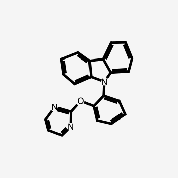 c1cnc(Oc2ccccc2-n2c3ccccc3c3ccccc32)nc1